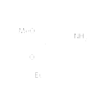 CCOC(C)(CN)OC